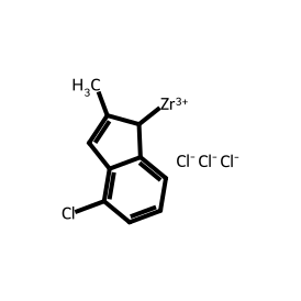 CC1=Cc2c(Cl)cccc2[CH]1[Zr+3].[Cl-].[Cl-].[Cl-]